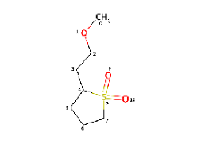 COCCC1CCCS1(=O)=O